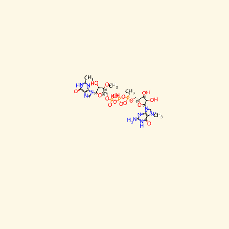 CCP(=O)(OC[C@H]1O[C@@H](n2c[n+](C)c3c(=O)[nH]c(N)nc32)C(O)[C@H]1O)OP(=O)(O)OP(=O)(O)OC[C@H]1O[C@@H](n2cnc3c(=O)[nH]c(C)nc32)C(O)[C@H]1OC